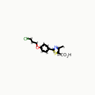 Cc1nc(-c2ccc(OCCCCl)cc2)sc1C(=O)O